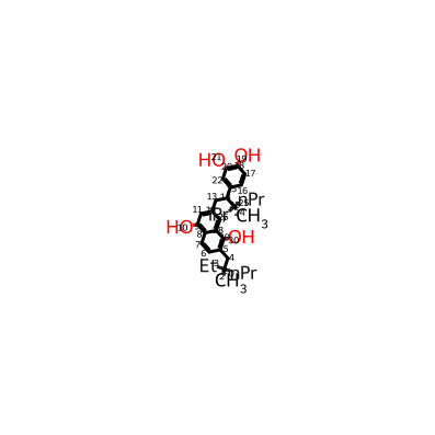 CCCC(C)(CC)Cc1ccc2c(O)cc(CC(c3ccc(O)c(O)c3)C(C)(CCC)C(C)C)cc2c1O